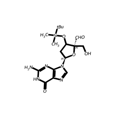 CC(C)(C)[Si](C)(C)OC1C[C@H](n2cnc3c(=O)[nH]c(N)nc32)O[C@]1(C=O)CO